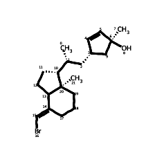 C[C@H](C[C@@H]1C=C[C@@](C)(O)C1)[C@H]1CCC2C(=CBr)CCC[C@@]21C